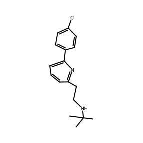 CC(C)(C)NCCc1cccc(-c2ccc(Cl)cc2)n1